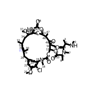 CNC(C)C(=O)N(C)C(C)C(=O)OC1CC(=O)N(C)c2cc(cc(OC)c2Cl)C/C(C)=C/C(C)CC(OC)C2(O)CC(OC(=O)N2)C(C)C2OC12C